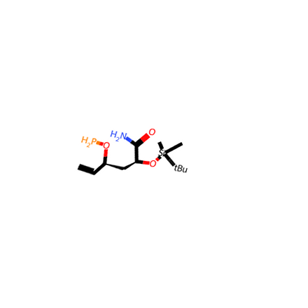 C=C[C@H](C[C@H](O[Si](C)(C)C(C)(C)C)C(N)=O)OP